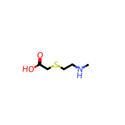 CNCCSCC(=O)O